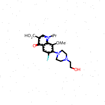 COc1c(N2CCN(CCO)CC2)c(F)cc2c(=O)c(C(=O)O)cn(C(C)C)c12